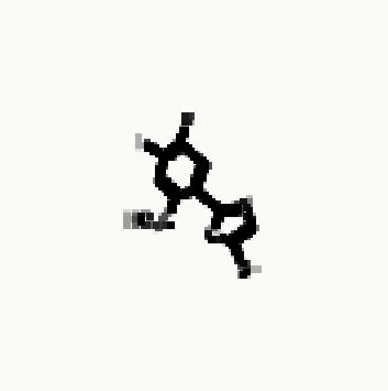 O=C(O)c1cc(F)c(F)cc1-c1ncc(S)o1